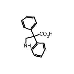 NCC(C(=O)O)(c1ccccc1)c1ccccc1